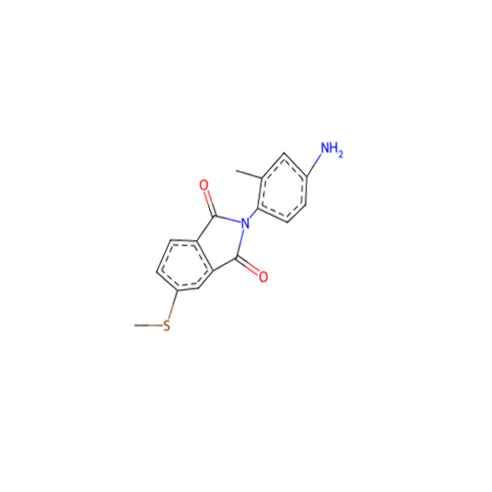 CSc1ccc2c(c1)C(=O)N(c1ccc(N)cc1C)C2=O